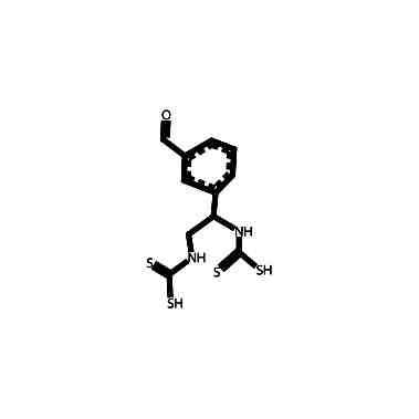 O=Cc1cccc(C(CNC(=S)S)NC(=S)S)c1